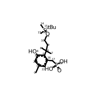 Cc1cc(O)c(C(C)(C)CCO[Si](C)(C)C(C)(C)C)c(CP(=O)(O)O)c1